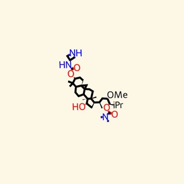 COC(C[C@@H](C)[C@H]1C[C@H](O)[C@@]2(C)C3CCC4C(C)(C)[C@@H](OC(=O)NC5CNC5)CC[C@@]45CC35CC[C@]12C)[C@H](OC(=O)N(C)C)C(C)C